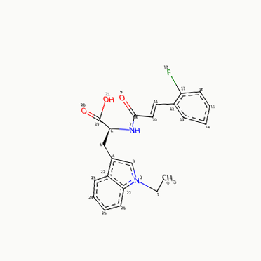 CCn1cc(C[C@H](NC(=O)C=Cc2ccccc2F)C(=O)O)c2ccccc21